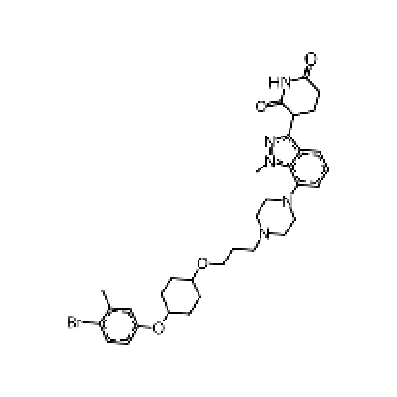 Cc1cc(OC2CCC(OCCCN3CCN(c4cccc5c(C6CCC(=O)NC6=O)nn(C)c45)CC3)CC2)ccc1Br